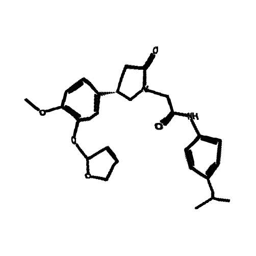 COc1ccc([C@@H]2CC(=O)N(CC(=O)Nc3ccc(C(C)C)cc3)C2)cc1OC1CCCO1